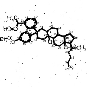 CCOOc1ccc(C2(c3cccc(C(C)OO)c3)CCC3(C)C(CCC4C3CCC3(C)C(C(C)CCCC(C)C)CCC43)C2)cc1